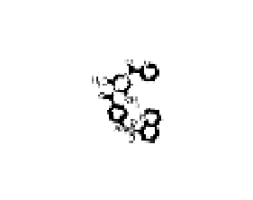 CC1CN(C(=O)c2ccccn2)CC(C)N1C(=O)c1ccc(NS(=O)(=O)c2cccc3cccnc23)cc1